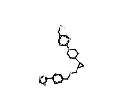 CCc1cnc(N2CCC([C@H]3C[C@H]3COCc3ccc(-c4ncno4)cc3)CC2)nc1